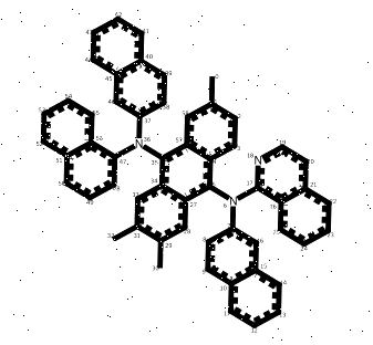 Cc1ccc2c(N(c3ccc4ccccc4c3)c3nccc4ccccc34)c3cc(C)c(C)cc3c(N(c3ccc4ccccc4c3)c3cccc4ccccc34)c2c1